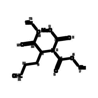 COC(=O)N(C(=O)OC(C)(C)C)C(CCC=O)C(=O)OC(C)(C)C